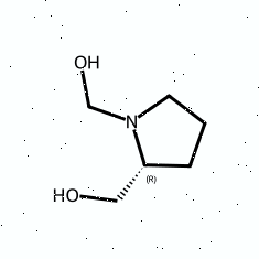 OC[C@H]1CCCN1CO